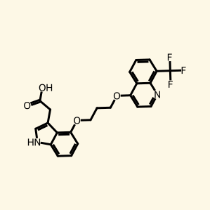 O=C(O)Cc1c[nH]c2cccc(OCCCOc3ccnc4c(C(F)(F)F)cccc34)c12